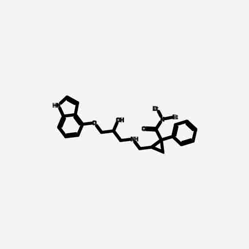 CCN(CC)C(=O)C1(c2ccccc2)CC1CNCC(O)COc1cccc2[nH]ccc12